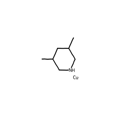 CC1CNCC(C)C1.[Cu]